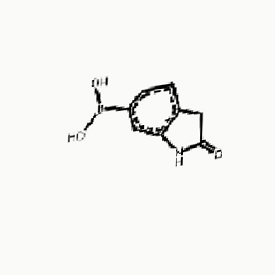 O=C1Cc2ccc(B(O)O)cc2N1